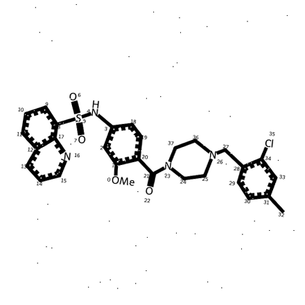 COc1cc(NS(=O)(=O)c2cccc3cccnc23)ccc1C(=O)N1CCN(Cc2ccc(C)cc2Cl)CC1